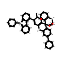 CC1CC2=C(C=C1c1cccc3c1c1ccccc1n3-c1ccccc1)Sc1cc(-c3ccccc3)ccc1C21c2ccccc2Sc2ccccc21